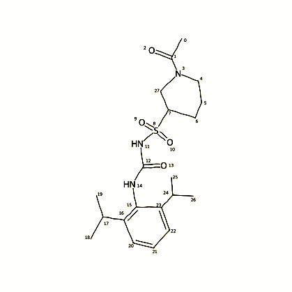 CC(=O)N1CCCC(S(=O)(=O)NC(=O)Nc2c(C(C)C)cccc2C(C)C)C1